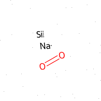 O=O.[Na].[Si]